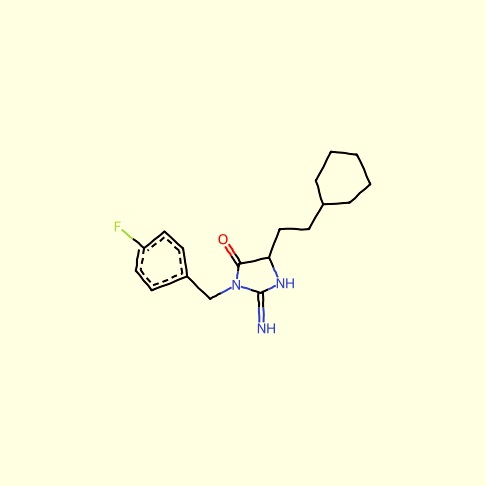 N=C1NC(CCC2CCCCC2)C(=O)N1Cc1ccc(F)cc1